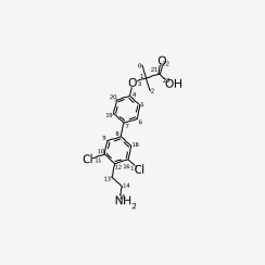 CC(C)(Oc1ccc(-c2cc(Cl)c(CCN)c(Cl)c2)cc1)C(=O)O